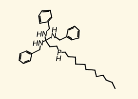 CCCCCCCCCCCCPCCC(NCc1ccccc1)(NCc1ccccc1)NCc1ccccc1